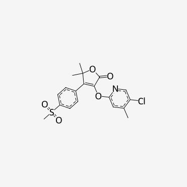 Cc1cc(OC2=C(c3ccc(S(C)(=O)=O)cc3)C(C)(C)OC2=O)ncc1Cl